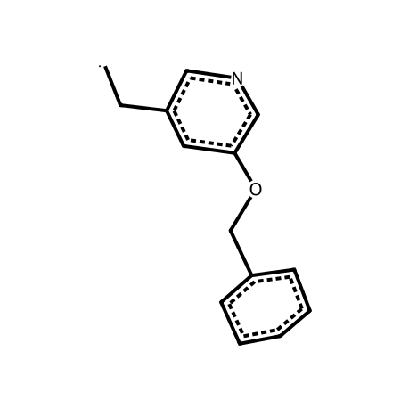 [CH2]Cc1cncc(OCc2ccccc2)c1